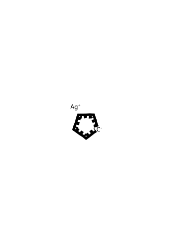 [Ag+].c1cc[cH-]c1